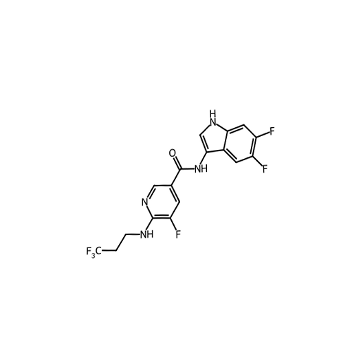 O=C(Nc1c[nH]c2cc(F)c(F)cc12)c1cnc(NCCC(F)(F)F)c(F)c1